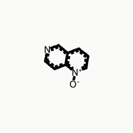 [O-][n+]1cccc2cnccc21